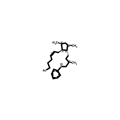 CC(=O)CCC/C=C\C[C@@H]1[C@@H](CC[C@@H](C)CBc2ccccc2)[C@H](C)C[C@@H]1C